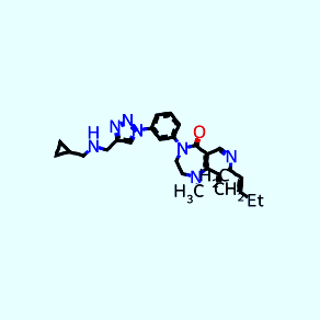 C=CC1=C(/C=N\C(=C)/C=C/CC)C(=O)N(c2cccc(-n3cc(CNCC4CC4)nn3)c2)CCN1C